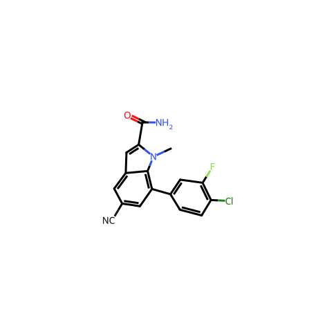 Cn1c(C(N)=O)cc2cc(C#N)cc(-c3ccc(Cl)c(F)c3)c21